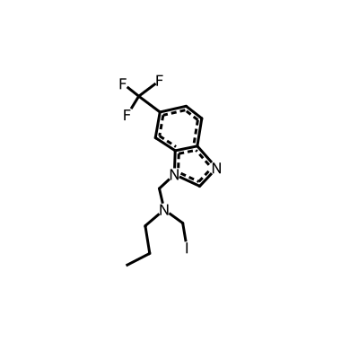 CCCN(CI)Cn1cnc2ccc(C(F)(F)F)cc21